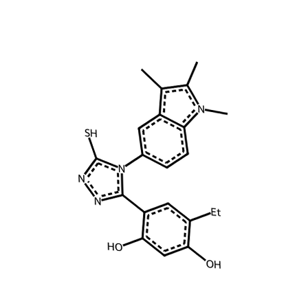 CCc1cc(-c2nnc(S)n2-c2ccc3c(c2)c(C)c(C)n3C)c(O)cc1O